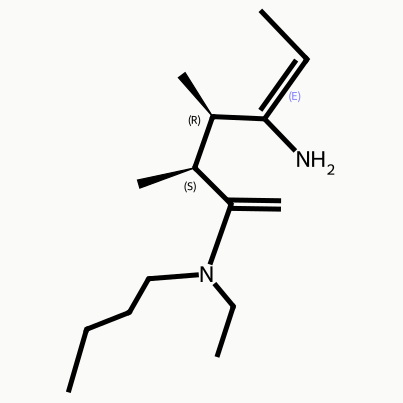 C=C([C@@H](C)[C@@H](C)/C(N)=C\C)N(CC)CCCC